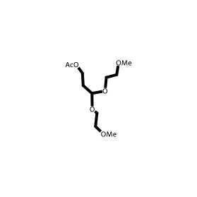 COCCOC(CCOC(C)=O)OCCOC